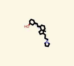 CC12CCC/C(=C\C=C3\CCCC(O)C3)C1CCC2CCCN1CCCC1